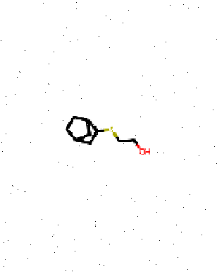 OCCSC1CC2CCC1C2